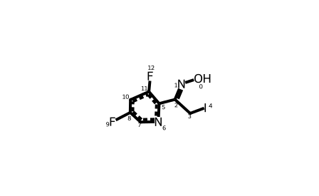 ON=C(CI)c1ncc(F)cc1F